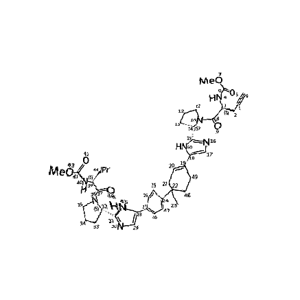 C#CC[C@H](NC(=O)OC)C(=O)N1CCC[C@H]1c1ncc(C2=CCC(C)(c3ccc(-c4cnc([C@@H]5CCCN5C(=O)[C@@H](NC(=O)OC)C(C)C)[nH]4)cc3)CC2)[nH]1